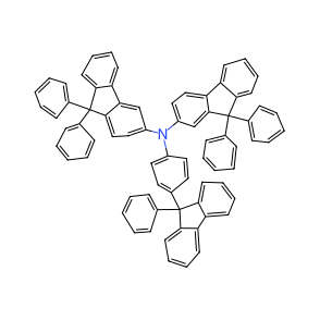 c1ccc(C2(c3ccc(N(c4ccc5c(c4)-c4ccccc4C5(c4ccccc4)c4ccccc4)c4ccc5c(c4)C(c4ccccc4)(c4ccccc4)c4ccccc4-5)cc3)c3ccccc3-c3ccccc32)cc1